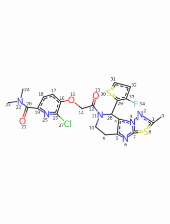 Cc1nn2c3c(nc2s1)CCN(C(=O)COc1ccc(C(=O)N(C)C)nc1Cl)C3c1sccc1F